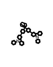 c1ccc(-n2c3ccccc3c3cc(-c4ccc(C5(c6ccc(-c7ccc8c(c7)c7ccccc7n8-c7ccccc7)cc6)C6CC7CC(C6)CC5C7)cc4)ccc32)cc1